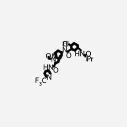 COCn1c(C(=O)Nc2ccc(C(F)(F)F)nc2)cc2cc(NC(=O)c3cc(CNC(=O)C(C)C)ccc3Cl)ccc21